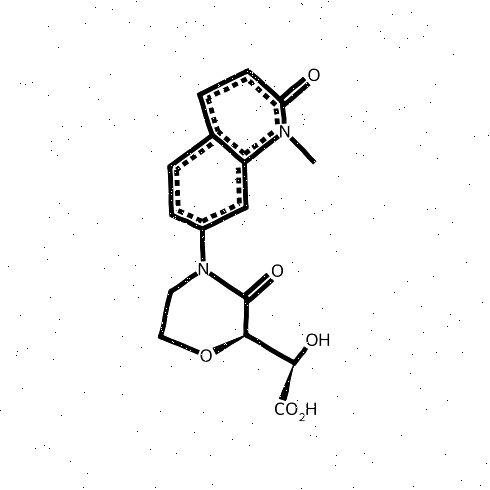 Cn1c(=O)ccc2ccc(N3CCO[C@H]([C@@H](O)C(=O)O)C3=O)cc21